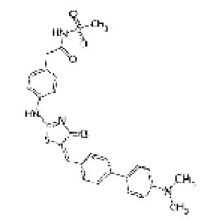 CN(C)c1ccc(-c2ccc(/C=C3/SC(Nc4ccc(CC(=O)NS(C)(=O)=O)cc4)=NC3=O)cc2)cc1